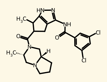 CC1c2[nH]nc(NC(=O)c3cc(Cl)cc(Cl)c3)c2CC1C(=O)N1C[C@@H]2CCCN2C[C@@H]1C